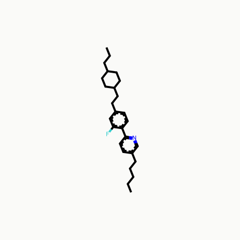 CCCCCc1ccc(-c2ccc(CCC3CCC(CCC)CC3)cc2F)nc1